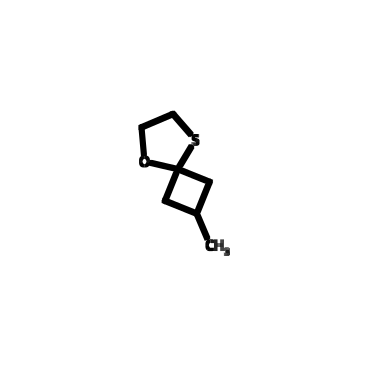 CC1CC2(C1)OCCS2